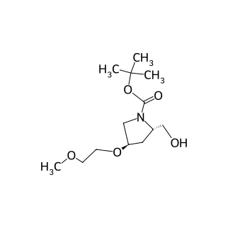 COCCO[C@@H]1C[C@@H](CO)N(C(=O)OC(C)(C)C)C1